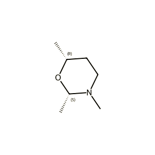 C[C@@H]1CCN(C)[C@H](C)O1